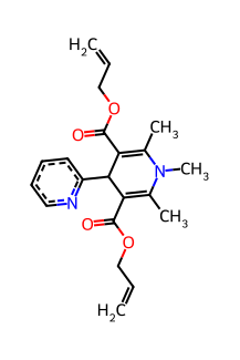 C=CCOC(=O)C1=C(C)N(C)C(C)=C(C(=O)OCC=C)C1c1ccccn1